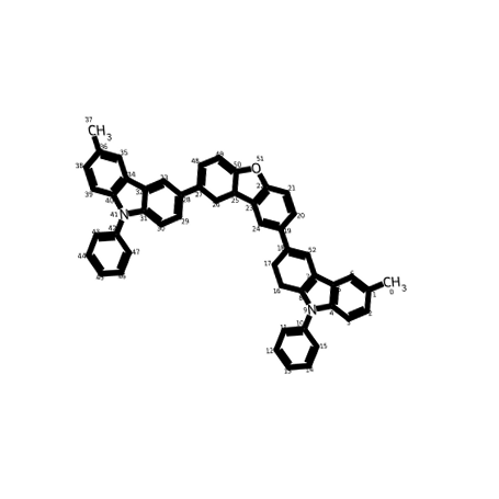 Cc1ccc2c(c1)c1c(n2-c2ccccc2)CCC(c2ccc3c(c2)C2CC(c4ccc5c(c4)c4cc(C)ccc4n5-c4ccccc4)=CC=C2O3)=C1